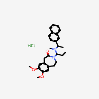 CCC(N1CCc2cc(OC)c(OC)cc2CC1=O)N(C)C(C)c1ccc2ccccc2c1.Cl